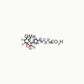 COc1c(C)c(C)c2c(c1C)C(c1ccc(/C=C/CCCCC(=O)O)cc1)C(C)(C)O2